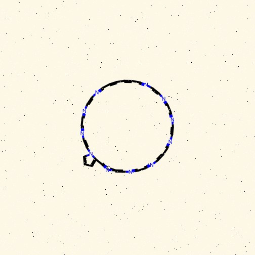 C1=CC=NC=CN=CC=NC=CN=CC=CN=CC=NC=C2CC(=N2)c2cccn2C=CN=CC=NC=CN=CC=C1